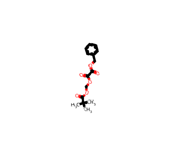 CC(C)(C)C(=O)OCOC(=O)C(=O)OCc1ccccc1